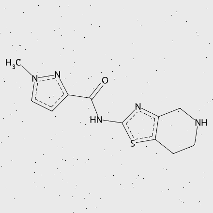 Cn1ccc(C(=O)Nc2nc3c(s2)CCNC3)n1